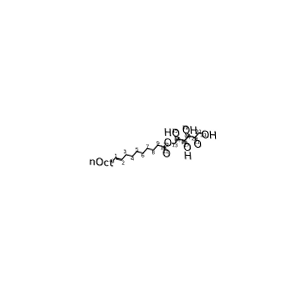 CCCCCCCCC=CCCCCCCCC(=O)OC[C@@H](O)[C@@H](O)[C@H](O)C(=O)CO